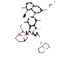 C#Cc1c(F)ccc2cc(OCOC)cc(-c3nc4c5c(nc(OC[C@@]67CCCN6C[C@@H](F)C7)nc5c3F)N3C[C@@H]5CC[C@H]([C@@H]3CO4)N5C(=O)OC(C)(C)C)c12